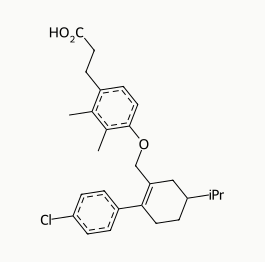 Cc1c(CCC(=O)O)ccc(OCC2=C(c3ccc(Cl)cc3)CCC(C(C)C)C2)c1C